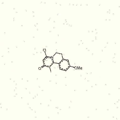 COc1ccc2c(c1)CCn1c(Cl)cc(=O)c(C)c1-2